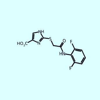 O=C(CSc1nc(C(=O)O)c[nH]1)Nc1c(F)cccc1F